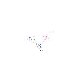 CN(OC(=O)CCCC[n+]1c(/C=C/c2ccc(N(C)C)cc2)sc2ccccc21)C(=O)CCC=O